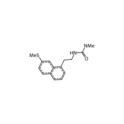 CNC(=O)NCCc1cccc2ccc(SC)cc12